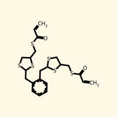 C=CC(=O)SCC1CSC(Cc2ccccc2CC2SCC(CSC(=O)C=C)S2)S1